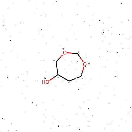 OC1CCOCOC1